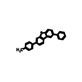 Cc1ccc(-c2ccc3c(c2)sc2ccc(-c4ccccc4)cc23)cc1